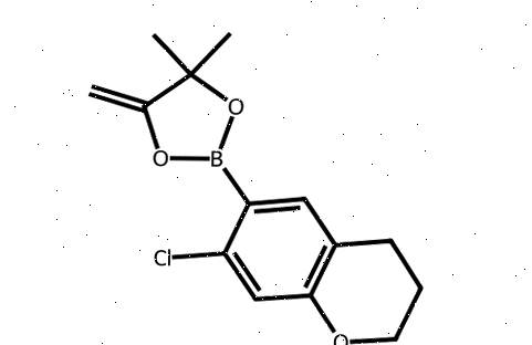 C=C1OB(c2cc3c(cc2Cl)OCCC3)OC1(C)C